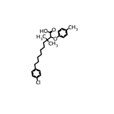 Cc1ccc(OC(C(=O)O)C(C)(C)CCCCCCCc2ccc(Cl)cc2)cc1